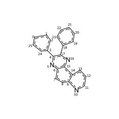 c1ccc(-c2nc3ccc4ncccc4c3nc2-c2ccccc2)cc1